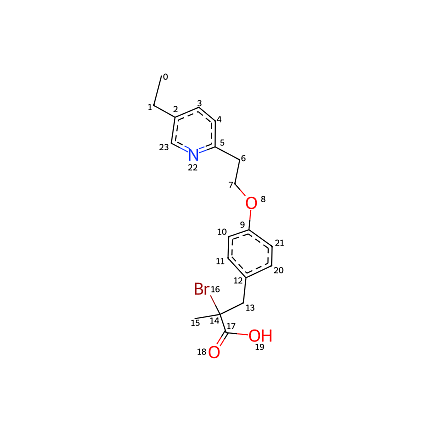 CCc1ccc(CCOc2ccc(CC(C)(Br)C(=O)O)cc2)nc1